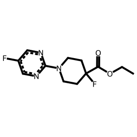 CCOC(=O)C1(F)CCN(c2ncc(F)cn2)CC1